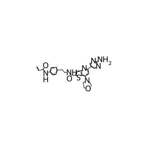 C=CC(=O)Nc1ccc(CCNC(=O)c2cc3nc(-c4cnc(N)nc4)cc(N4CCOCC4)c3s2)cc1